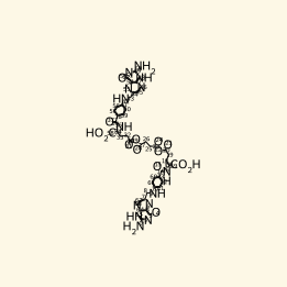 Nc1nc(=O)c2nc(CNc3ccc(C(=O)N[C@@H](CCC(=O)OC(=O)CCC(=O)OC(=O)CC[C@H](NC(=O)c4ccc(NCc5cnc6[nH]c(N)nc(=O)c6n5)cc4)C(=O)O)C(=O)O)cc3)cnc2[nH]1